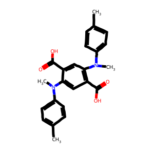 Cc1ccc(N(C)c2cc(C(=O)O)c(N(C)c3ccc(C)cc3)cc2C(=O)O)cc1